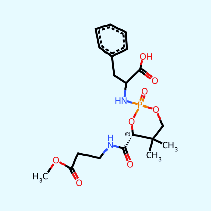 COC(=O)CCNC(=O)[C@@H]1OP(=O)(NC(Cc2ccccc2)C(=O)O)OCC1(C)C